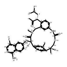 CC(=O)[C@H](CC(F)F)c1ccc2cc1CN(C)C(=O)[C@H](Nc1ccc3c(N)ncc(F)c3c1)c1ccc(c(C)c1)[C@@H](C)COC(=O)N2